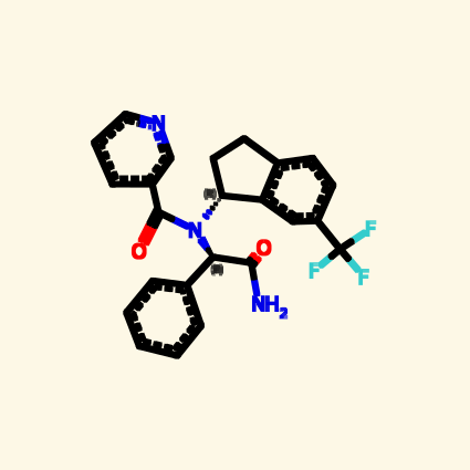 NC(=O)[C@@H](c1ccccc1)N(C(=O)c1cccnc1)[C@@H]1CCc2ccc(C(F)(F)F)cc21